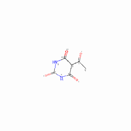 CC(=O)C1C(=O)NC(=O)NC1=O